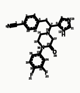 N#Cc1ccc(CC(c2cnc[nH]2)N2CCN(c3ccc(F)c(F)c3)C(=O)C2)cc1